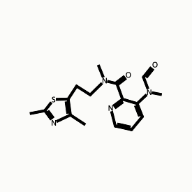 Cc1nc(C)c(CCN(C)C(=O)c2ncccc2N(C)C=O)s1